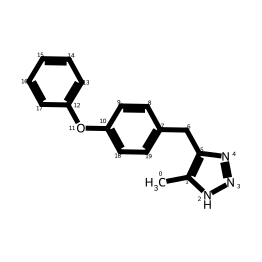 Cc1[nH]nnc1Cc1ccc(Oc2ccccc2)cc1